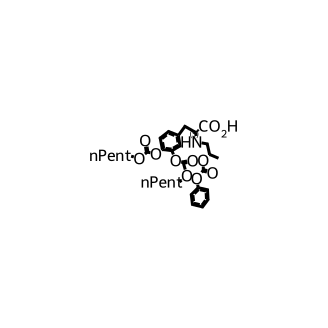 CCCCCOC(=O)Oc1ccc(C[C@H](NCC(C)OC(=O)Oc2ccccc2)C(=O)O)cc1OC(=O)OCCCCC